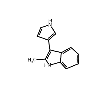 Cc1[nH]c2ccccc2c1-c1cc[nH]c1